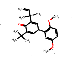 C=CC(C)(C)C1=CC(c2cc(OC)ccc2OC)C=C(C(C)(C)C)C1=O